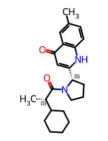 Cc1ccc2[nH]c([C@@H]3CCCN3C(=O)[C@@H](C)C3CCCCC3)cc(=O)c2c1